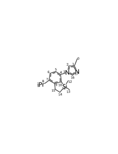 Cc1cn(-c2ccc(C(C)C)c3c2[Si](C)(C)CC3)cn1